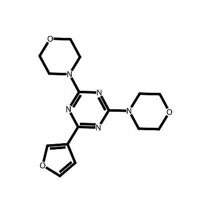 c1cc(-c2nc(N3CCOCC3)nc(N3CCOCC3)n2)co1